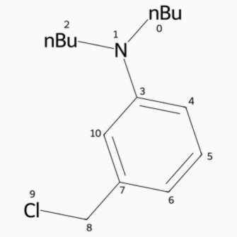 CCCCN(CCCC)c1cccc(CCl)c1